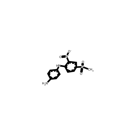 CS(=O)(=O)c1ccc(Nc2ccc(N)cc2)c([N+](=O)[O-])c1